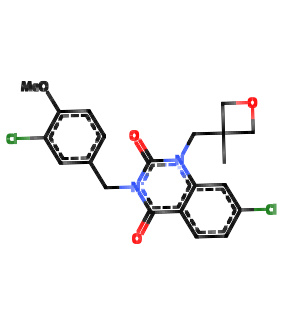 COc1ccc(Cn2c(=O)c3ccc(Cl)cc3n(CC3(C)COC3)c2=O)cc1Cl